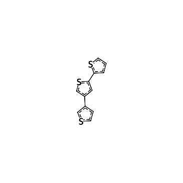 c1csc(-c2cc(-c3ccsc3)cs2)c1